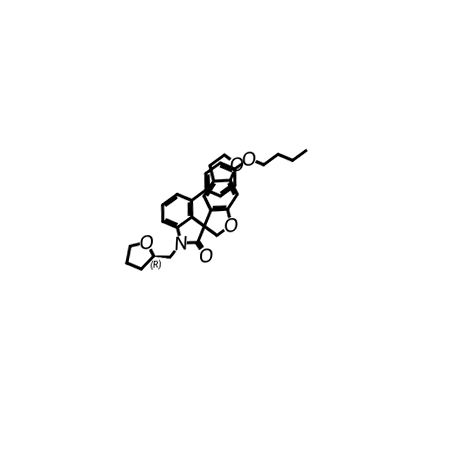 CCCCOc1ccc(-c2cccc3c2C2(COc4cc5c(cc42)CCO5)C(=O)N3C[C@H]2CCCO2)cc1